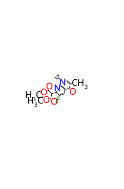 Cc1cn(C2CC2)c2nc(C3C(=O)OC(C)(C)OC3=O)c(F)cc2c1=O